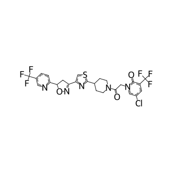 O=C(Cn1cc(Cl)cc(C(F)(F)F)c1=O)N1CCC(c2nc(C3=NOC(c4ccc(C(F)(F)F)cn4)C3)cs2)CC1